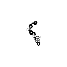 O=C(c1ccc2c(ccn2CC(O)CNCC2CCCCC2)c1)N1CCC(Cc2ccccc2)CC1